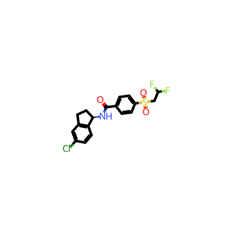 O=C(N[C@@H]1CCc2cc(Cl)ccc21)c1ccc(S(=O)(=O)CC(F)F)cc1